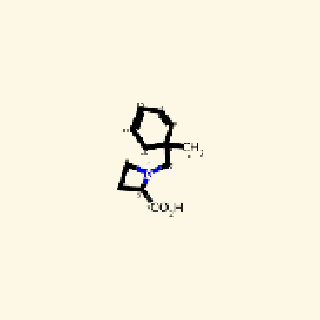 CC1(CN2CCC2C(=O)O)C=CC=CC1